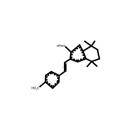 CCCCCc1cc2c(cc1/C=C/c1ccc(C(=O)O)cc1)C(C)(C)CCC2(C)C